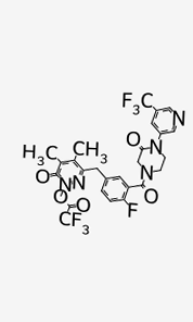 Cc1c(Cc2ccc(F)c(C(=O)N3CCN(c4cncc(C(F)(F)F)c4)C(=O)C3)c2)nn(OC(=O)C(F)(F)F)c(=O)c1C